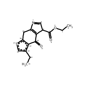 CCOC(=O)C1C=NC2=C1C(=O)c1c(CC)csc1C2